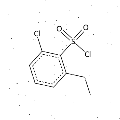 CCc1cccc(Cl)c1S(=O)(=O)Cl